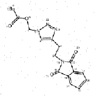 CC(C)(C)C(=O)OCn1cc(CCN2C(=O)c3ccccc3C2=O)nn1